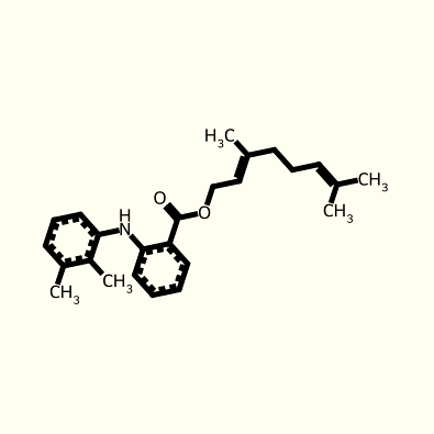 CC(C)=CCC/C(C)=C/COC(=O)c1ccccc1Nc1cccc(C)c1C